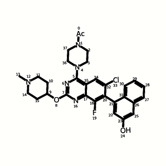 CC(=O)N1CCN(c2nc(OC3CCN(C)CC3)nc3c(F)c(-c4cc(O)cc5ccccc45)c(Cl)cc23)CC1